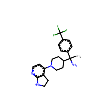 CC(N)(c1ccc(C(F)(F)F)cc1)C1CCN(c2ccnc3c2CCN3)CC1